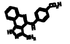 Nc1n[nH]c2c1c(Nc1ccc(C(=O)O)cc1)nc1ccccc12